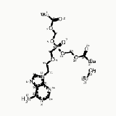 CC(C)(C)C(=O)OCOP(=O)(COCCn1cnc2c(N)ncnc21)OCOC(=O)C(C)(C)C.CCC(C)O